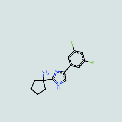 NC1(c2nc(-c3cc(F)cc(F)c3)c[nH]2)CCCC1